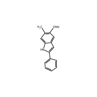 COc1cc2cc(-c3ccccc3)[nH]c2cc1C